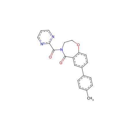 Cc1ccc(-c2ccc3c(c2)C(=O)N(C(=O)c2ncccn2)CCO3)cc1